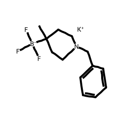 CC1([B-](F)(F)F)CCN(Cc2ccccc2)CC1.[K+]